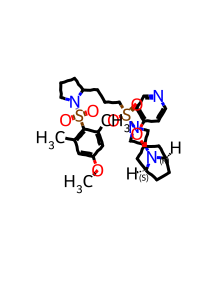 COc1cc(C)c(S(=O)(=O)N2CCCC2CCCS(=O)(=O)N2CC(N3[C@@H]4CC[C@H]3CC(Oc3ccncc3)C4)C2)c(C)c1